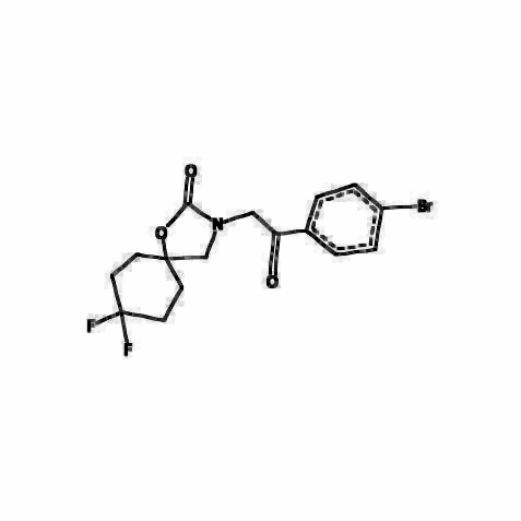 O=C(CN1CC2(CCC(F)(F)CC2)OC1=O)c1ccc(Br)cc1